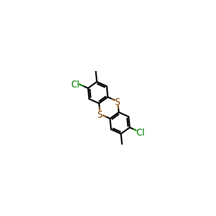 Cc1cc2c(cc1Cl)Sc1cc(C)c(Cl)cc1S2